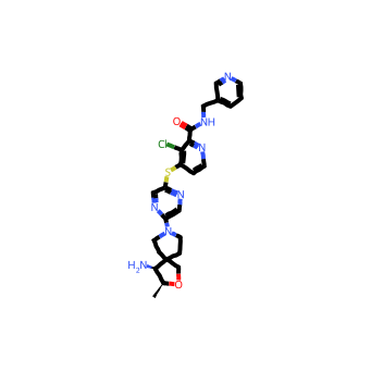 C[C@@H]1OCC2(CCN(c3cnc(Sc4ccnc(C(=O)NCc5cccnc5)c4Cl)cn3)CC2)[C@@H]1N